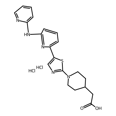 Cl.Cl.O=C(O)CC1CCN(c2ncc(-c3cccc(Nc4ccccn4)n3)s2)CC1